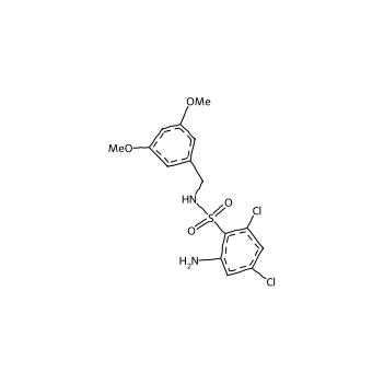 COc1cc(CNS(=O)(=O)c2c(N)cc(Cl)cc2Cl)cc(OC)c1